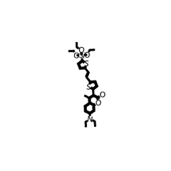 CCO[Si](OCC)(OCC)c1ccc(/C=C/c2ccc(-c3c(C)c4ccc(N(CC)CC)cc4oc3=O)s2)s1